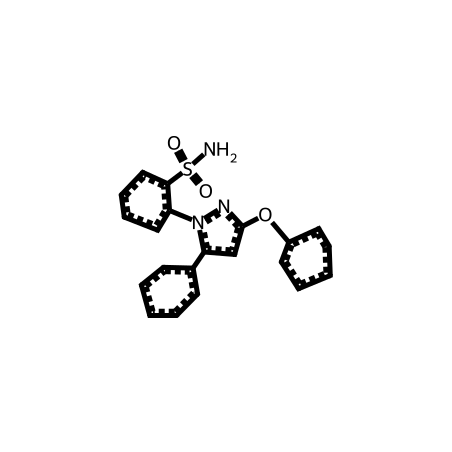 NS(=O)(=O)c1ccccc1-n1nc(Oc2ccccc2)cc1-c1ccccc1